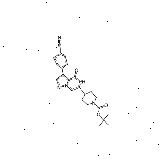 CC(C)(C)OC(=O)N1CCC(c2cn3ncc(-c4ccc(C#N)cc4)c3c(=O)[nH]2)CC1